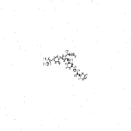 CC(CO)c1ccc(-c2cc(C(N)=O)c(Nc3cccc(COCC(=O)N4CCOCC4)n3)s2)c(F)c1